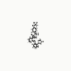 O=C(Nc1ccc(OC(F)(F)F)cc1)Nc1cccnc1Oc1cccnc1C1C=CCC1